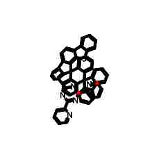 c1ccc(-c2nc(-c3ccccn3)nc(-c3cccc4c3C3(c5ccccc5C5(c6ccccc6-c6ccccc65)c5ccccc53)c3c-4ccc4c3sc3ccccc34)n2)nc1